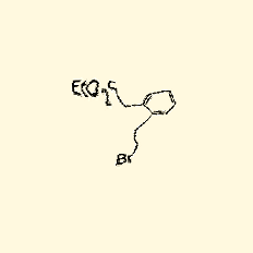 CCOC(=O)Cc1ccccc1CCBr